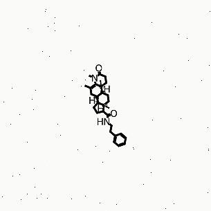 CC1=C2N(C)C(=O)CC[C@]2(C)[C@@H]2CC[C@]3(C)C(C(=O)NCCc4ccccc4)CC[C@H]3[C@@H]2C1